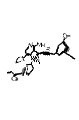 C=CC(=O)N1CCC(n2nc(C#Cc3cc(C)cc(OC)c3)c3c(N)ncc(Cl)c32)C1